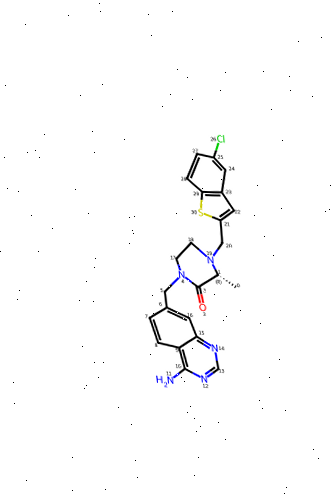 C[C@@H]1C(=O)N(Cc2ccc3c(N)ncnc3c2)CCN1Cc1cc2cc(Cl)ccc2s1